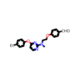 CCc1ccc(Oc2ccnc(N(C)CCOc3ccc(C=O)cc3)n2)cc1